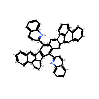 c1ccc2nc(-c3c4cc5c(cc4c(-c4ccc6ccccc6n4)c4c6cc7ccccc7c7cccc(c34)c76)c3cccc4c6ccccc6cc5c43)ccc2c1